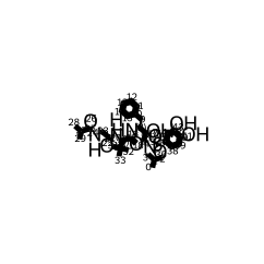 CC(C)CN(C[C@@H](O)[C@H](Cc1ccccc1)NC(=O)[C@@H](NC(=O)CNC(=O)C(C)C)C(C)(C)C)S(=O)(=O)c1ccc(O)c(O)c1